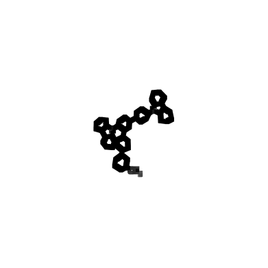 Cc1cccc(-c2ccc(-c3cc(-c4ccc(-n5c6ccccc6c6ccccc65)cc4)ccc3-n3c4ccccc4c4ccccc43)cc2)c1